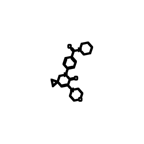 O=C(c1ccc(N2CC3(C=C(N4CCOCC4)C2=O)CC3)cc1)N1CCCCC1